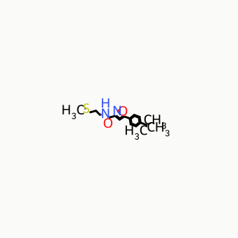 CSCCCNC(=O)c1cc(-c2ccc(C(C)(C)C)cc2)on1